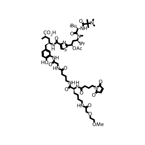 CC[C@H](C)[C@H](NC(=O)C(C)(C)N(C)C)C(=O)N(C)[C@H](C[C@@H](OC(C)=O)c1nc(C(=O)N[C@@H](Cc2ccc(O)c(NC(=O)CNC(=O)CCCNC(=O)[C@H](CCCCNC(=O)COCCOC)NC(=O)CCCN3C(=O)C=CC3=O)c2)C[C@H](C)C(=O)O)cs1)C(C)C